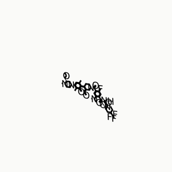 COC[C@H]1CN(c2cc(C)c3c4c(c(=O)oc3c2C)CN(C(=O)c2cc(N(C)C)c(C(=O)NS(=O)(=O)N3CCC(C(F)(F)F)CC3)cc2F)CC4)CCN1C